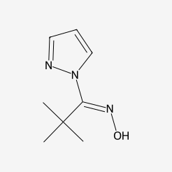 CC(C)(C)C(=NO)n1cccn1